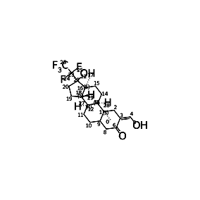 C[C@]12CC(=CO)C(=O)CC1CC[C@@H]1[C@H]2CC[C@@]2(C)[C@H]1CCC2(O)C(F)(F)C(F)(F)F